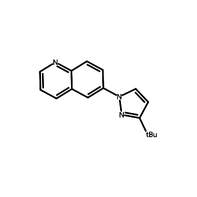 CC(C)(C)c1ccn(-c2ccc3ncccc3c2)n1